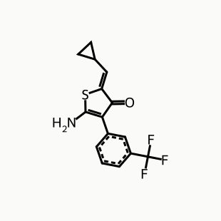 NC1=C(c2cccc(C(F)(F)F)c2)C(=O)C(=CC2CC2)S1